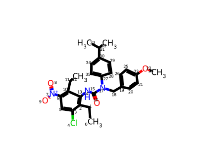 CCc1c(Cl)cc([N+](=O)[O-])c(CC)c1NC(=O)N(Cc1ccc(OC)cc1)c1ccc(C(C)C)cc1